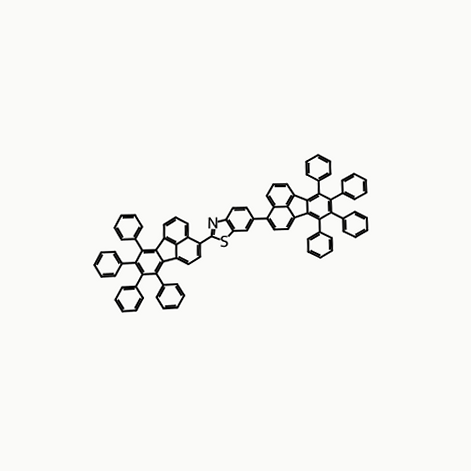 c1ccc(-c2c(-c3ccccc3)c(-c3ccccc3)c3c(c2-c2ccccc2)-c2cccc4c(-c5ccc6nc(-c7ccc8c9c(cccc79)-c7c(-c9ccccc9)c(-c9ccccc9)c(-c9ccccc9)c(-c9ccccc9)c7-8)sc6c5)ccc-3c24)cc1